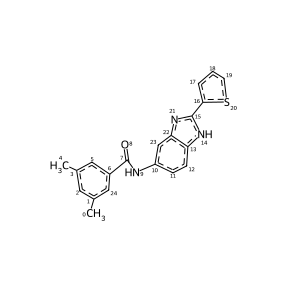 Cc1cc(C)cc(C(=O)Nc2ccc3[nH]c(-c4cccs4)nc3c2)c1